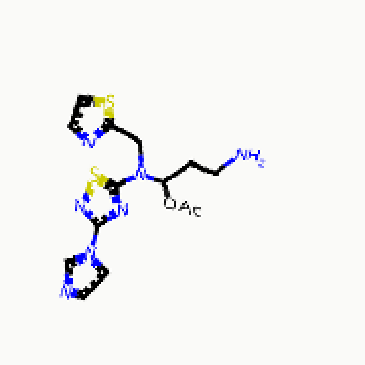 CC(=O)OC(CCN)N(Cc1nccs1)c1nc(-n2ccnc2)ns1